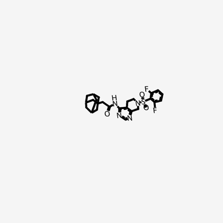 O=C(CC12CC3CC(CC(C3)C1)C2)Nc1ncnc2c1CCN(S(=O)(=O)c1c(F)cccc1F)C2